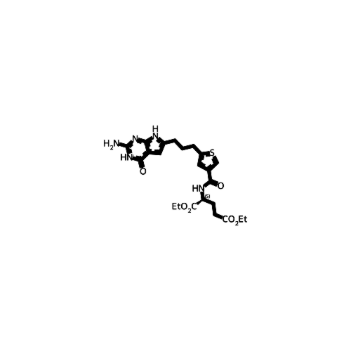 CCOC(=O)CC[C@H](NC(=O)c1csc(CCCc2cc3c(=O)[nH]c(N)nc3[nH]2)c1)C(=O)OCC